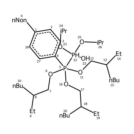 CCCCCCCCCc1ccc(P(OCC(CC)CCCC)(OCC(CC)CCCC)(OCC(CC)CCCC)[PH](O)(OC(C)C)OC(C)C)cc1